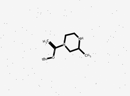 C=C(OC(C)(C)C)N1CCNC(C)C1